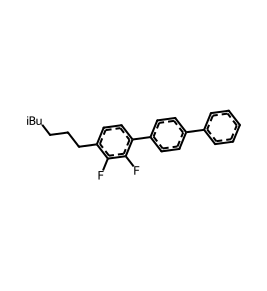 CCC(C)CCCc1ccc(-c2ccc(-c3ccccc3)cc2)c(F)c1F